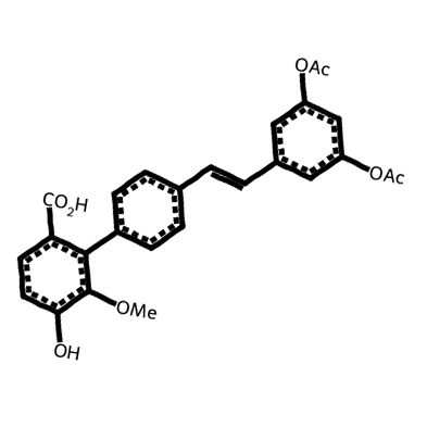 COc1c(O)ccc(C(=O)O)c1-c1ccc(C=Cc2cc(OC(C)=O)cc(OC(C)=O)c2)cc1